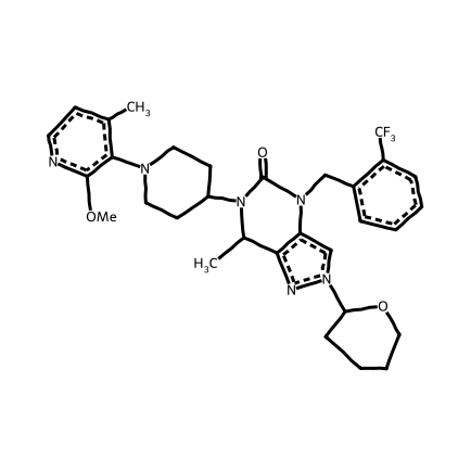 COc1nccc(C)c1N1CCC(N2C(=O)N(Cc3ccccc3C(F)(F)F)c3cn(C4CCCCO4)nc3C2C)CC1